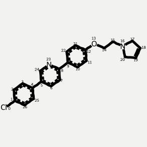 Clc1ccc(-c2ccc(-c3ccc(OCCN4CC=CC4)cc3)nc2)cc1